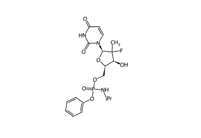 CC(C)NP(=O)(OC[C@H]1O[C@@H](n2ccc(=O)[nH]c2=O)C(C)(F)[C@H]1O)Oc1ccccc1